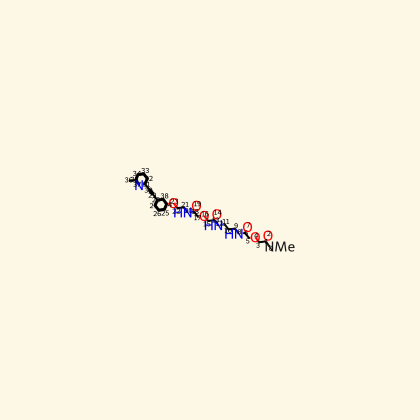 CNC(=O)COCC(=O)NCCCNC(=O)COCC(=O)NCCOc1cccc(C#Cc2cccc(C)n2)c1